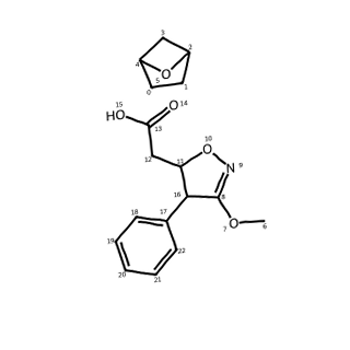 C1CC2CC1O2.COC1=NOC(CC(=O)O)C1c1ccccc1